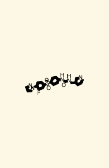 O=C(NCc1cccnc1)Nc1ccc(S(=O)(=O)c2ccc(-n3cccn3)c(F)c2)cc1